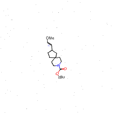 CO/C=C/C1CCC2(CCN(C(=O)OC(C)(C)C)CC2)C1